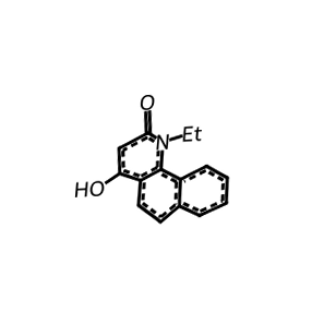 CCn1c(=O)cc(O)c2ccc3ccccc3c21